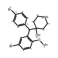 CCCOc1ccc(Br)cc1C(c1ccc(Br)cc1)C1(O)CCNCC1